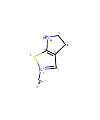 CC(C)[n+]1cc2c(s1)NCC2